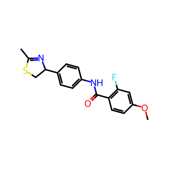 COc1ccc(C(=O)Nc2ccc(C3CSC(C)=N3)cc2)c(F)c1